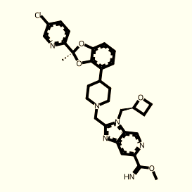 COC(=N)c1cc2nc(CN3CCC(c4cccc5c4O[C@@](C)(c4ccc(Cl)cn4)O5)CC3)n(C[C@@H]3CCO3)c2cn1